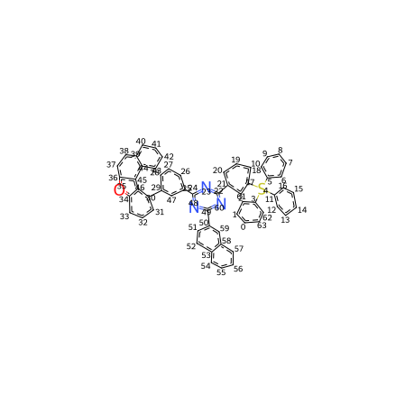 c1ccc(S(c2ccccc2)(c2ccccc2)c2cccc(-c3nc(-c4cccc(-c5cccc6oc7ccc8ccccc8c7c56)c4)nc(-c4ccc5ccccc5c4)n3)c2)cc1